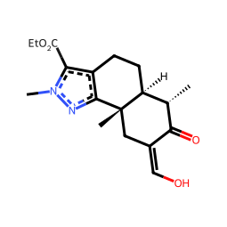 CCOC(=O)c1c2c(nn1C)[C@@]1(C)C/C(=C/O)C(=O)[C@@H](C)[C@@H]1CC2